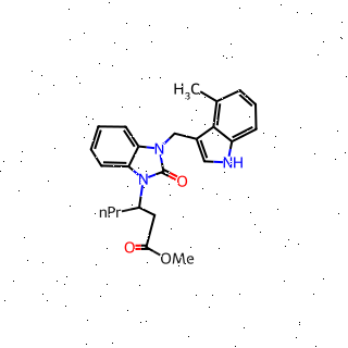 CCCC(CC(=O)OC)n1c(=O)n(Cc2c[nH]c3cccc(C)c23)c2ccccc21